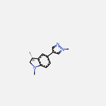 C[C@H]1CN(C)c2ccc(-c3cnn(C)c3)cc21